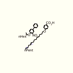 CCCCC/C=C/C/C=C/CCCCCCCCOc1ccc(C(=O)O)cc1.CCCCCC[C@H](C)Oc1ccc(-c2ccccc2)cc1[N+](=O)[O-]